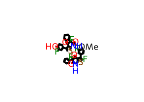 COc1ccc(-c2c(F)sc3c2C(=O)C(F)(c2ccccc2)C(=O)N3)cc1F.O=C1Nc2scc(-c3ccc(O)c(F)c3)c2C(=O)C1(F)c1ccccc1